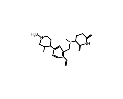 BN1CCC(c2ccc(C=C)c(CN(C)C3CCC(=C)NC3=C)c2)C(C)C1